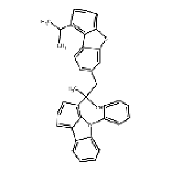 CC(C)c1cccc2sc3cc(CC(C)(C)c4cccc5c6ccccc6n(-c6ccccc6)c45)ccc3c12